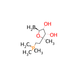 B[C@@H]1O[C@](C)(CCP(=C)(C)C)[C@@H](O)[C@H]1O